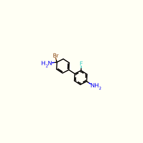 Nc1ccc(C2=CCC(N)(Br)C=C2)c(F)c1